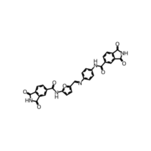 O=C(Nc1ccc(/N=C/c2ccc(NC(=O)c3ccc4c(c3)C(=O)NC4=O)o2)cc1)c1ccc2c(c1)C(=O)NC2=O